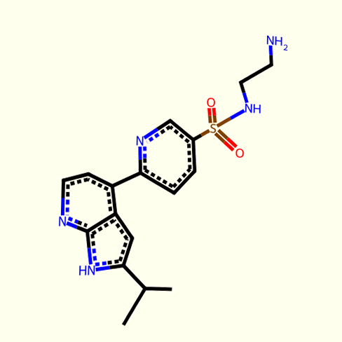 CC(C)c1cc2c(-c3ccc(S(=O)(=O)NCCN)cn3)ccnc2[nH]1